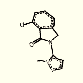 Cn1nccc1N1Cc2cccc(Cl)c2C1=O